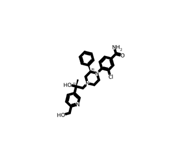 C[C@@](O)(CN1CCN(c2ccc(C(N)=O)cc2Cl)[C@H](c2ccccc2)C1)c1ccc(CO)nc1